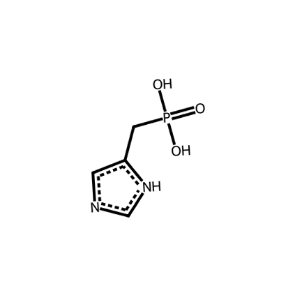 O=P(O)(O)Cc1cnc[nH]1